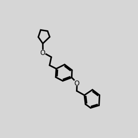 c1ccc(COc2ccc(CCOC3CCCC3)cc2)cc1